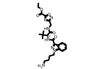 CCOC(=O)c1nc(CNC(=O)[C@@H](NC(=O)c2nn(CCCCN)c3ccccc23)C(C)(C)C)no1